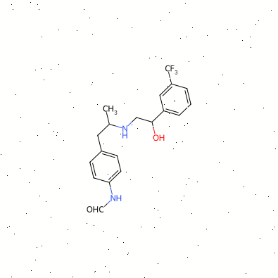 CC(Cc1ccc(NC=O)cc1)NCC(O)c1cccc(C(F)(F)F)c1